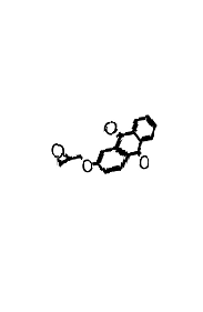 O=C1c2ccccc2C(=O)c2cc(OCC3CO3)ccc21